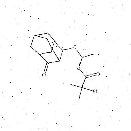 CCC(C)(C)C(=O)OC(C)OC1C2CC3CC(C2)C(=O)C1C3